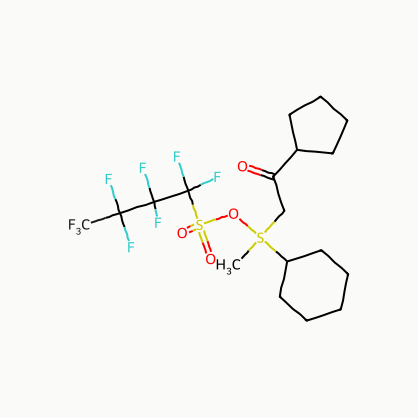 CS(CC(=O)C1CCCC1)(OS(=O)(=O)C(F)(F)C(F)(F)C(F)(F)C(F)(F)F)C1CCCCC1